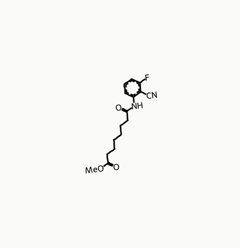 COC(=O)CCCCCCC(=O)Nc1cccc(F)c1C#N